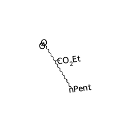 CCCCCC=CCC=CCCCCCCCCCC(CCCCCCCCC1OCCO1)CC(=O)OCC